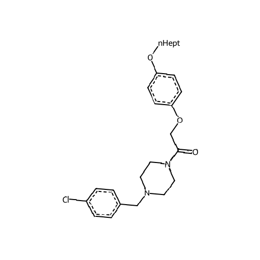 CCCCCCCOc1ccc(OCC(=O)N2CCN(Cc3ccc(Cl)cc3)CC2)cc1